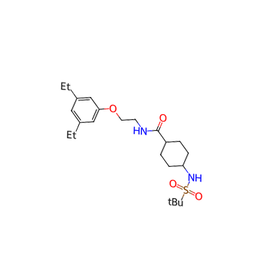 CCc1cc(CC)cc(OCCNC(=O)C2CCC(NS(=O)(=O)C(C)(C)C)CC2)c1